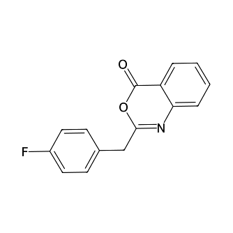 O=c1oc(Cc2ccc(F)cc2)nc2ccccc12